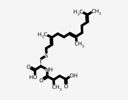 CC(C)=CCCC(C)=CCCC(C)=CCSC[C@H](NC(=O)C(C)CC(=O)O)C(=O)O